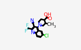 CC1CN(c2c(C#N)c(C(F)F)nc3ccc(Cl)cc23)CCC1C(=O)O